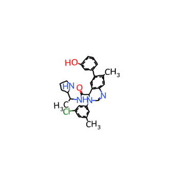 Cc1cc(Cl)cc(N2C=Nc3cc(C)c(-c4cccc(O)c4)cc3C2C(=O)NC(C)C2CCCN2)c1